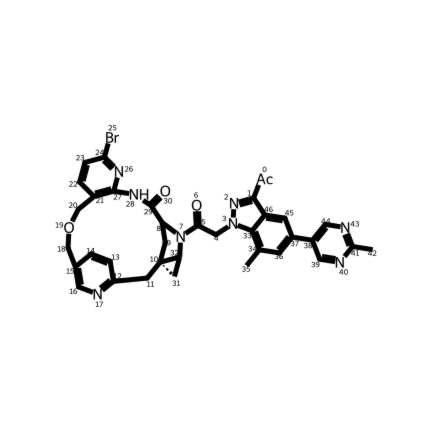 CC(=O)c1nn(CC(=O)N2C3C[C@@]4(Cc5ccc(cn5)COCc5ccc(Br)nc5NC3=O)CC24)c2c(C)cc(-c3cnc(C)nc3)cc12